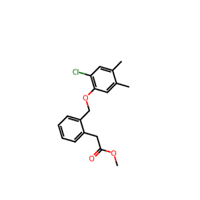 COC(=O)Cc1ccccc1COc1cc(C)c(C)cc1Cl